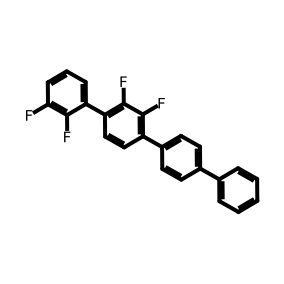 Fc1cccc(-c2ccc(-c3ccc(-c4ccccc4)cc3)c(F)c2F)c1F